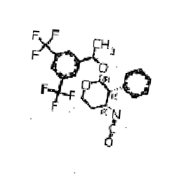 CC(O[C@H]1OCC[C@@H](N=C=O)[C@H]1c1ccccc1)c1cc(C(F)(F)F)cc(C(F)(F)F)c1